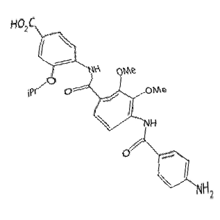 COc1c(NC(=O)c2ccc(N)cc2)ccc(C(=O)Nc2ccc(C(=O)O)cc2OC(C)C)c1OC